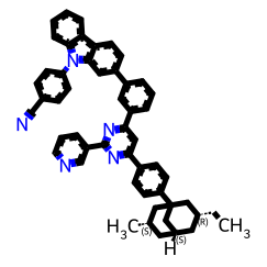 CC[C@@H]1C[C@@H]2C[C@H](C)CC(c3ccc(-c4cc(-c5cccc(-c6ccc7c8ccccc8n(-c8ccc(C#N)cc8)c7c6)c5)nc(-c5cccnc5)n4)cc3)(C1)C2